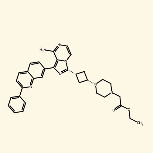 CCOC(=O)CN1CCN([C@H]2C[C@@H](c3nc(-c4ccc5ccc(-c6ccccc6)nc5c4)c4c(N)nccn43)C2)CC1